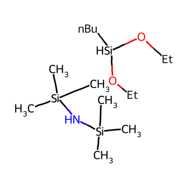 CCCC[SiH](OCC)OCC.C[Si](C)(C)N[Si](C)(C)C